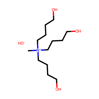 C[N+](CCCCO)(CCCCO)CCCCO.[OH-]